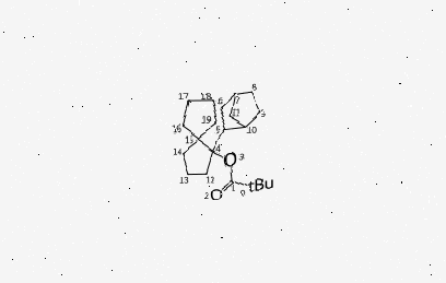 CC(C)(C)C(=O)OC1(C2CC3CCC2C3)CCCC12CCCC2